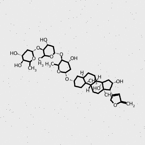 C=C1C=C([C@H]2[C@@H](O)C[C@]3(O)[C@@H]4CC[C@@H]5C[C@@H](O[C@H]6C[C@@H](O)[C@H](O[C@H]7C[C@@H](O)[C@H](O[C@H]8C[C@@H](O)[C@H](O)C(C)O8)C(C)O7)C(C)O6)CC[C@]5(C)[C@H]4CC[C@]23C)CO1